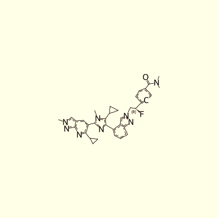 CN(C)C(=O)c1ccc([C@@H](F)Cn2cc3c(-c4nc(-c5cc6cn(C)nc6nc5C5CC5)n(C)c4C4CC4)cccc3n2)cc1